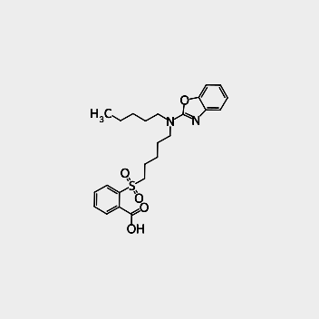 CCCCCN(CCCCCS(=O)(=O)c1ccccc1C(=O)O)c1nc2ccccc2o1